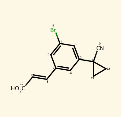 N#CC1(c2cc(Br)cc(C=CC(=O)O)c2)CC1